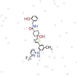 Cc1cc(Nc2nccc(C(F)(F)F)n2)cc(-c2cnc([C@]3(O)CC[C@@H](C(=O)NCc4ccccc4O)CC3)s2)c1